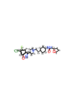 O=C(CC1CCCO1)N[C@H]1CC[C@H](CCN2CCC(c3noc4cc(Cl)c(F)cc34)CC2)CC1